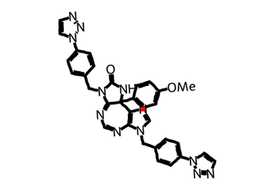 COc1ccc(C23NC(=O)N(Cc4ccc(-n5ccnn5)cc4)C2=NC=Nc2c3ncn2Cc2ccc(-n3ccnn3)cc2)cc1